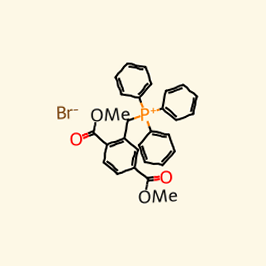 COC(=O)c1ccc(C(=O)OC)c(C[P+](c2ccccc2)(c2ccccc2)c2ccccc2)c1.[Br-]